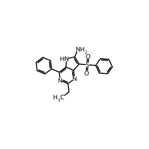 CCc1nc(-c2ccccc2)c2[nH]c(N)c(S(=O)(=O)c3ccccc3)c2n1